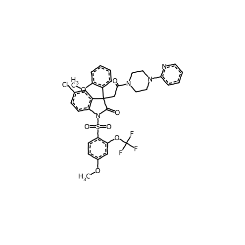 COc1ccc(S(=O)(=O)N2C(=O)C(CC(=O)N3CCN(c4ccccn4)CC3)(c3ccccc3OC)c3cc(Cl)ccc32)c(OC(F)(F)F)c1